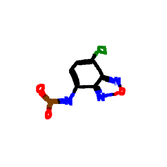 O=S(=O)=Nc1ccc(Cl)c2nonc12